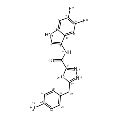 O=C(Nc1c[nH]c2cc(F)c(F)cc12)c1nnc(Cc2ccc(C(F)(F)F)cc2)o1